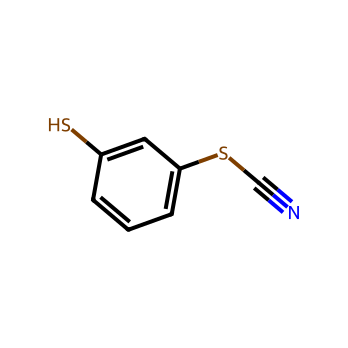 N#CSc1cccc(S)c1